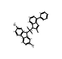 CC1=Cc2c(-c3ccccc3)cccc2C1C(C)(C)C1c2cc(Br)ccc2-c2ccc(Br)cc21